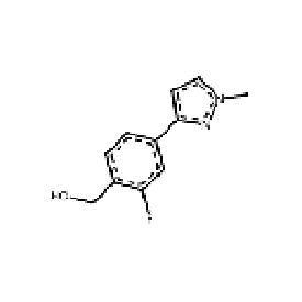 Cn1ccc(-c2ccc(CO)c(F)c2)n1